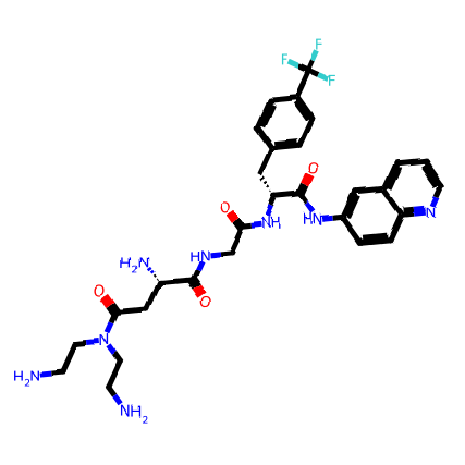 NCCN(CCN)C(=O)C[C@H](N)C(=O)NCC(=O)N[C@H](Cc1ccc(C(F)(F)F)cc1)C(=O)Nc1ccc2ncccc2c1